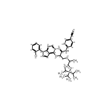 CC(CO[Si](C(C)C)(C(C)C)C(C)C)OCC(Oc1ncnc2c1cnn2-c1ccccc1Cl)C(=O)Nc1ccc(C#N)cn1